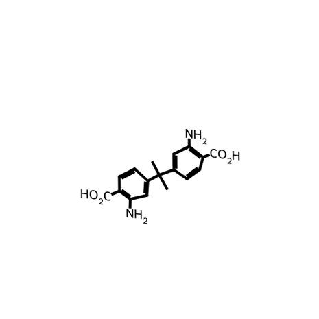 CC(C)(c1ccc(C(=O)O)c(N)c1)c1ccc(C(=O)O)c(N)c1